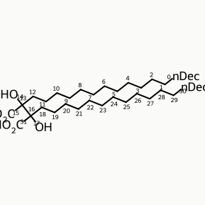 CCCCCCCCCCCCCCCCCCCCCCC(O)(C(=O)O)C(O)(CCCCCCCCCCCCCCCCCCCCCC)C(=O)O